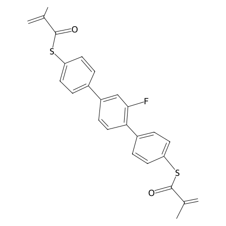 C=C(C)C(=O)Sc1ccc(-c2ccc(-c3ccc(SC(=O)C(=C)C)cc3)c(F)c2)cc1